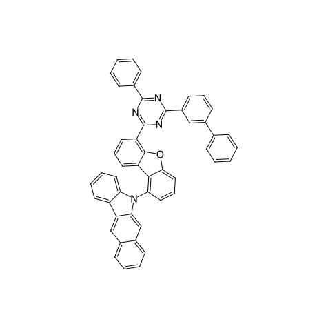 c1ccc(-c2cccc(-c3nc(-c4ccccc4)nc(-c4cccc5c4oc4cccc(-n6c7ccccc7c7cc8ccccc8cc76)c45)n3)c2)cc1